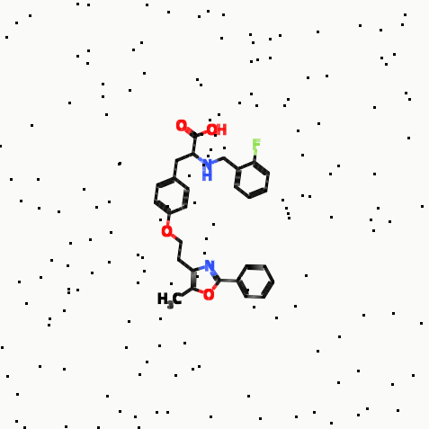 Cc1oc(-c2ccccc2)nc1CCOc1ccc(CC(NCc2ccccc2F)C(=O)O)cc1